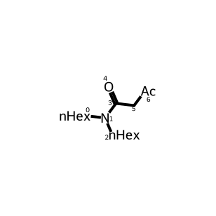 CCCCCCN(CCCCCC)C(=O)CC(C)=O